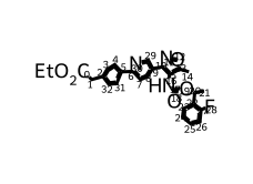 CCOC(=O)Cc1ccc(-c2ccc(-c3noc(C)c3NC(=O)OC(C)c3ccccc3F)cn2)cc1